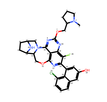 CN1CCCC1COc1nc2c3c(nc(-c4cc(O)cc5cccc(Cl)c45)c(F)c3n1)OCC1C3CCC(CN21)N3